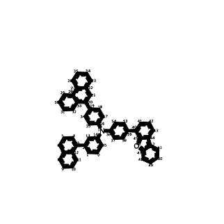 c1cc(-c2cccc3ccccc23)cc(N(c2ccc(-c3cc4ccccc4c4ccccc34)cc2)c2ccc(-c3cccc4c3oc3ccccc34)cc2)c1